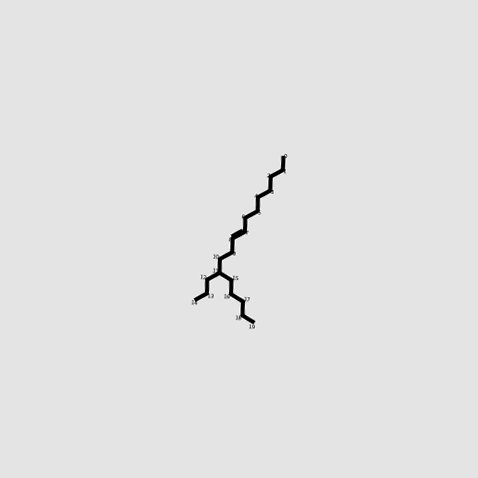 CCCCCCCC=CCCC(CCC)CCCCC